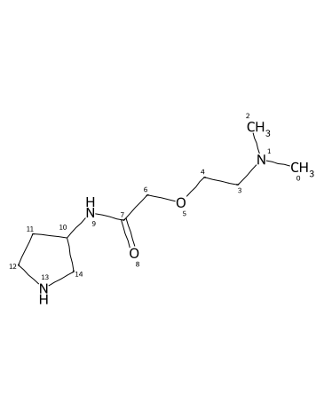 CN(C)CCOCC(=O)NC1CCNC1